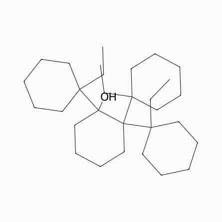 CCC1(C2(O)CCCCC2(C2(CC)CCCCC2)C2(CC)CCCCC2)CCCCC1